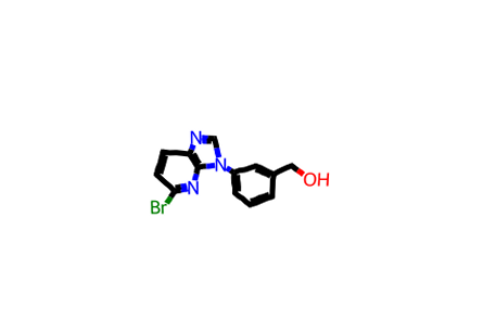 OCc1cccc(-n2cnc3ccc(Br)nc32)c1